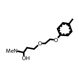 CNC(O)CCOCCOc1ccc(C)cc1